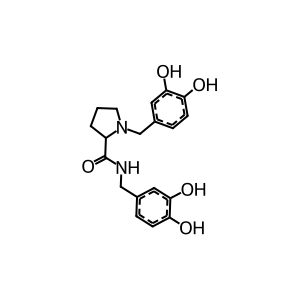 O=C(NCc1ccc(O)c(O)c1)C1CCCN1Cc1ccc(O)c(O)c1